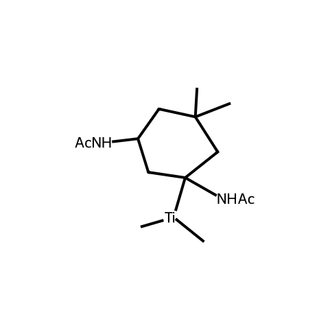 CC(=O)NC1CC(C)(C)C[C](NC(C)=O)([Ti]([CH3])[CH3])C1